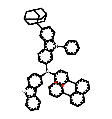 c1ccc(-c2cccc3cccc(-c4ccc(N(c5ccc6oc7ccccc7c6c5)c5ccc6c7cc(C89CC%10CC(CC(C%10)C8)C9)ccc7n(-c7ccccc7)c6c5)cc4)c23)cc1